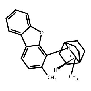 Cc1ccc2c(oc3ccccc32)c1N1[C@@H](C)C23CCC1(CC2)CC3